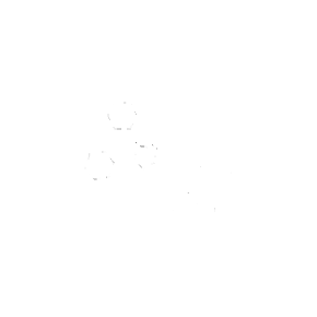 CC1(C)CC(c2cc(-c3ccccc3)n(-c3ccccc3)n2)CC(C)(C)O1